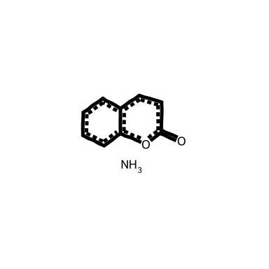 N.O=c1ccc2ccccc2o1